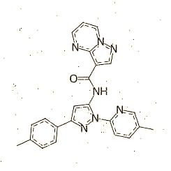 Cc1ccc(-c2cc(NC(=O)c3cnn4cccnc34)n(-c3ccc(C)cn3)n2)cc1